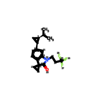 CC(C)[C@H]1C[C@@H]1c1ccc2c(c1)N(CCC(F)(F)F)C(=O)C21CC1